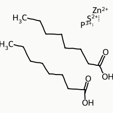 CCCCCCCC(=O)O.CCCCCCCC(=O)O.[P+3].[S+2].[Zn+2]